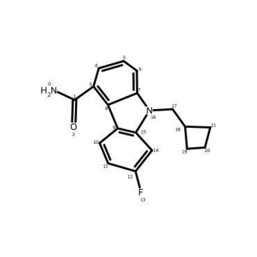 NC(=O)c1cccc2c1c1[c]cc(F)cc1n2CC1CCC1